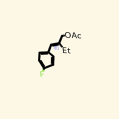 CC/C(=C\c1ccc(F)cc1)COC(C)=O